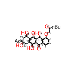 CCCCC(=O)COc1cccc2c1C(=O)c1c(O)c3c(c(O)c1C2=O)CC(O)(C(C)=O)CC3O